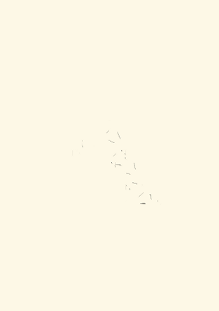 COc1ccc([C@@H](C)NC(=O)c2ccc3nc(-c4ccc(Cl)cc4)c(CCC(C)CC(=O)O)nc3c2)cc1